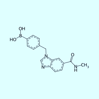 CNC(=O)c1ccc2ncn(Cc3ccc(B(O)O)cc3)c2c1